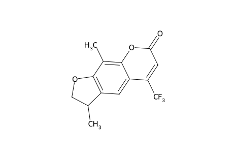 Cc1c2c(cc3c(C(F)(F)F)cc(=O)oc13)C(C)CO2